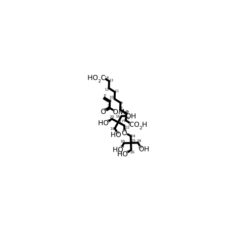 C=CC(=O)OC.O=C(O)CCCCCCCCC(=O)O.OCC(CO)(CO)COCC(CO)(CO)CO